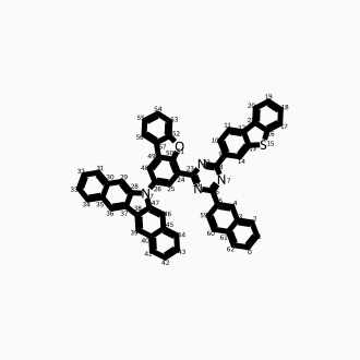 c1ccc2cc(-c3nc(-c4ccc5c(c4)sc4ccccc45)nc(-c4cc(-n5c6cc7ccccc7cc6c6cc7ccccc7cc65)cc5c4oc4ccccc45)n3)ccc2c1